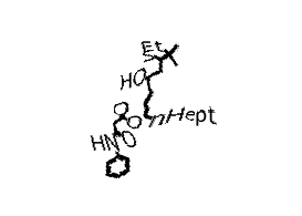 CCCCCCCC(CCC(O)CC(=S)C(C)(C)CC)OC(=O)CC(=O)Nc1ccccc1